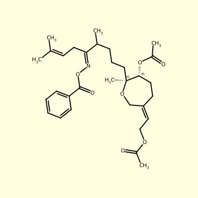 CC(=O)OCC=C1CC[C@@H](OC(C)=O)[C@](C)(CCCC(C)C(CC=C(C)C)=NOC(=O)c2ccccc2)OC1